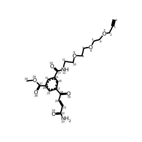 C#CCOCCOCCOCCNC(=O)c1cc(C(=O)/C=C/C(N)=O)cc(C(=O)OC)c1